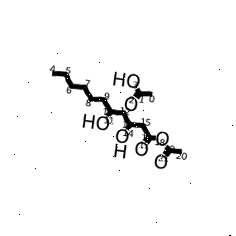 CC(=O)O.CCCCCCC(O)CC(O)CC(=O)OC(C)=O